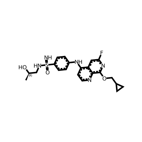 C[C@@H](O)CNS(=N)(=O)c1ccc(Nc2ccnc3c(OCC4CC4)nc(F)cc23)cc1